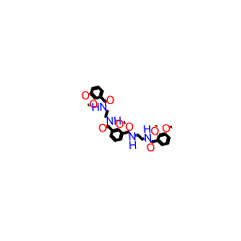 COc1cccc(C(=O)NCCNC(=O)c2cccc(C(=O)NCCNC(=O)c3cccc(OC)c3OC)c2OC)c1OC